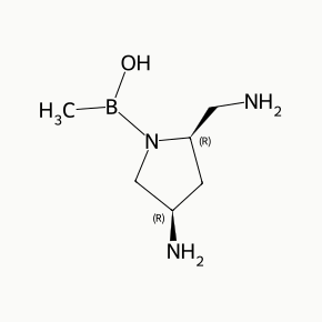 CB(O)N1C[C@H](N)C[C@@H]1CN